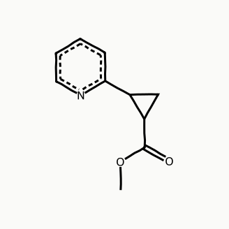 COC(=O)C1CC1c1ccccn1